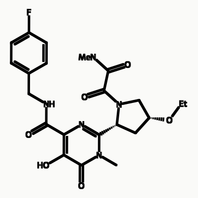 CCO[C@@H]1C[C@H](c2nc(C(=O)NCc3ccc(F)cc3)c(O)c(=O)n2C)N(C(=O)C(=O)NC)C1